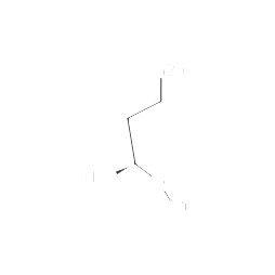 CCCCCC[C@H](C)OC(C)C